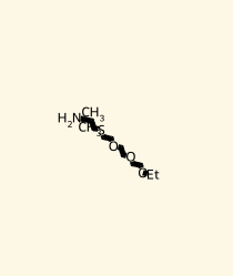 CCOCCOCCOCCSCCC(C)(C)N